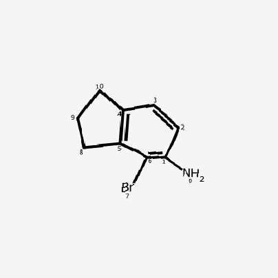 Nc1ccc2c(c1Br)CCC2